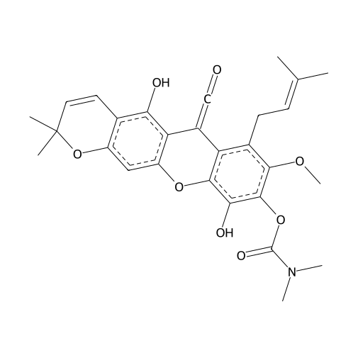 COc1c(CC=C(C)C)c2c(c(O)c1OC(=O)N(C)C)Oc1cc3c(c(O)c1C2=C=O)C=CC(C)(C)O3